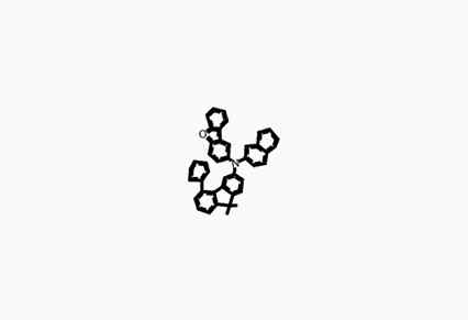 CC1(C)c2ccc(N(c3ccc4ccccc4c3)c3ccc4oc5ccccc5c4c3)cc2-c2c(-c3ccccc3)cccc21